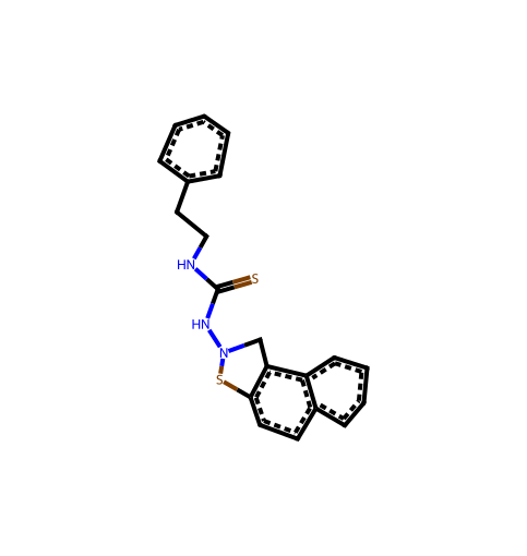 S=C(NCCc1ccccc1)NN1Cc2c(ccc3ccccc23)S1